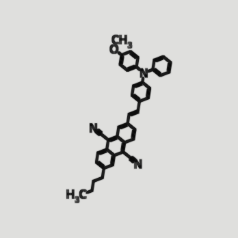 CCCCc1ccc2c(C#N)c3cc(C=Cc4ccc(N(c5ccccc5)c5ccc(OC)cc5)cc4)ccc3c(C#N)c2c1